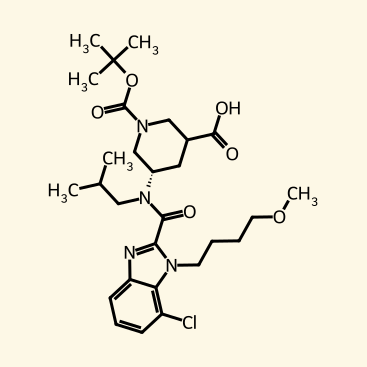 COCCCCn1c(C(=O)N(CC(C)C)[C@H]2CC(C(=O)O)CN(C(=O)OC(C)(C)C)C2)nc2cccc(Cl)c21